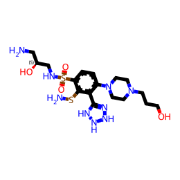 NC[C@H](O)CNS(=O)(=O)c1ccc(N2CCN(CCCO)CC2)c(C2=NNNN2)c1SN